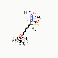 CC(=O)NC(C)[C@H](C(=O)S)C(=O)/C(C)=C/C=C/CCCO[Si](C)(C)C(C)(C)C